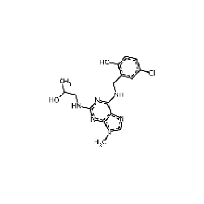 CC(O)CNc1nc(NCc2cc(Cl)ccc2O)c2ncn(C)c2n1